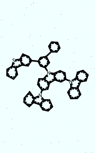 c1ccc(-c2cc(-c3ccc4sc5ccccc5c4c3)cc(-n3c4ccc(-n5c6ccccc6c6ccccc65)cc4c4cc(-n5c6ccccc6c6ccccc65)ccc43)c2)cc1